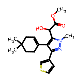 COC(=O)C(O)c1c(C2=CCC(C)(C)CC2)c(-c2ccsc2)nn1C